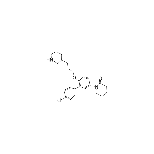 O=C1CCCCN1c1ccc(OCCCC2CCCNC2)c(-c2ccc(Cl)cc2)c1